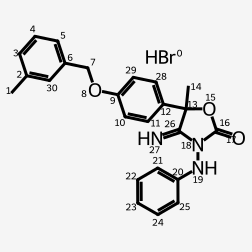 Br.Cc1cccc(COc2ccc(C3(C)OC(=O)N(Nc4ccccc4)C3=N)cc2)c1